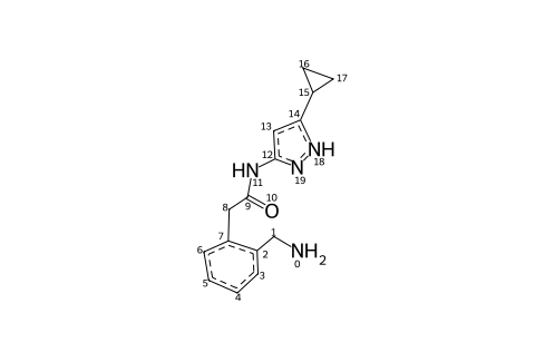 NCc1ccccc1CC(=O)Nc1cc(C2CC2)[nH]n1